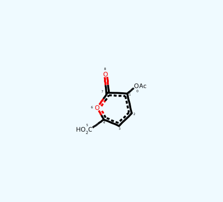 CC(=O)Oc1ccc(C(=O)O)oc1=O